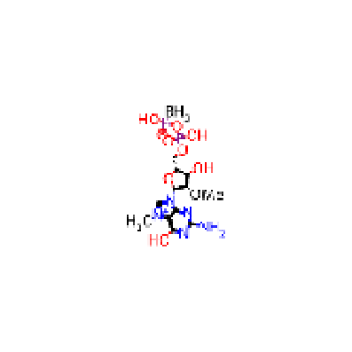 BP(=O)(O)OP(=O)(O)OC[C@H]1O[C@@H](n2c[n+](C)c3c(O)nc(N)nc32)[C@@H](OC)C1O